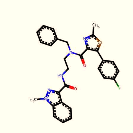 Cc1nc(C(=O)N(CCNC(=O)c2nn(C)c3ccccc23)Cc2ccccc2)c(-c2ccc(F)cc2)s1